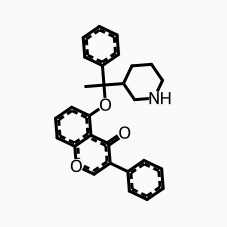 CC(Oc1cccc2occ(-c3ccccc3)c(=O)c12)(c1ccccc1)C1CCCNC1